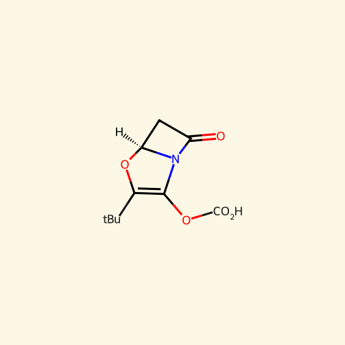 CC(C)(C)C1=C(OC(=O)O)N2C(=O)C[C@@H]2O1